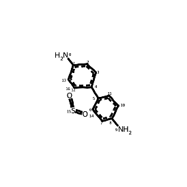 Nc1ccc(-c2ccc(N)cc2)cc1.O=S=O